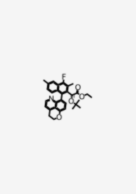 CCOC(=O)[C@@H](OC(C)(C)C)c1c(C)c(F)c2cc(C)ccc2c1-c1ccc2c3c(ccnc13)CCO2